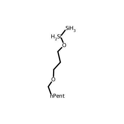 CCCCCCOCCCO[SiH2][SiH3]